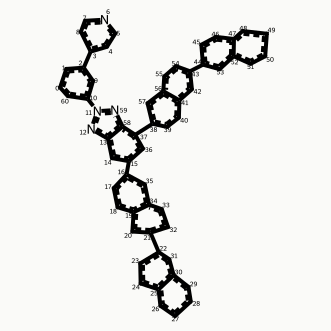 c1cc(-c2ccncc2)cc(-n2nc3cc(-c4ccc5cc(-c6ccc7ccccc7c6)ccc5c4)cc(-c4ccc5cc(-c6ccc7ccccc7c6)ccc5c4)c3n2)c1